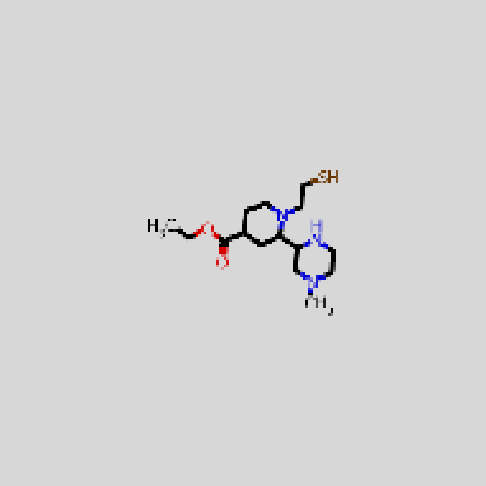 CCOC(=O)C1CCN(CCS)C(C2CN(C)CCN2)C1